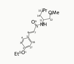 CCOc1ccc(C=CC(=O)NC(COC)CC(C)C)cc1